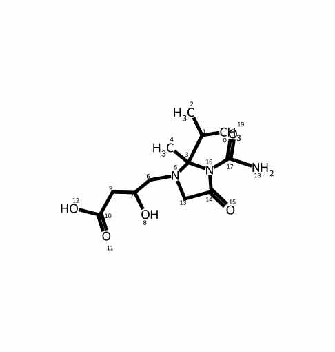 CC(C)C1(C)N(CC(O)CC(=O)O)CC(=O)N1C(N)=O